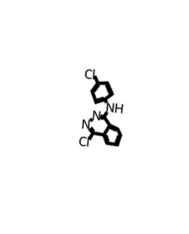 Clc1ccc(Nc2nnc(Cl)c3ccccc23)cc1